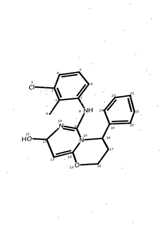 Cc1c(Cl)cccc1NC1=NC(O)C=C2OCCC(c3ccccc3)N21